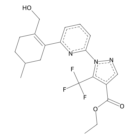 CCOC(=O)c1cnn(-c2cccc(C3=C(CO)CCC(C)C3)n2)c1C(F)(F)F